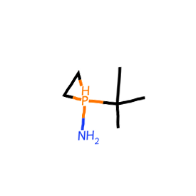 CC(C)(C)[PH]1(N)CC1